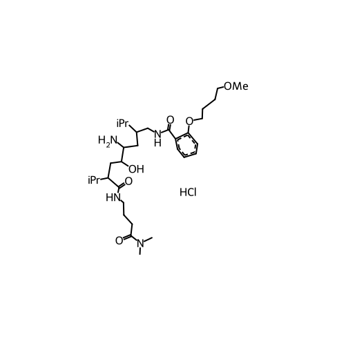 COCCCCOc1ccccc1C(=O)NCC(CC(N)C(O)CC(C(=O)NCCCC(=O)N(C)C)C(C)C)C(C)C.Cl